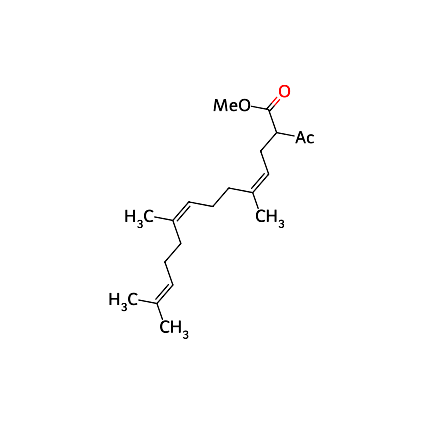 COC(=O)C(CC=C(C)CCC=C(C)CCC=C(C)C)C(C)=O